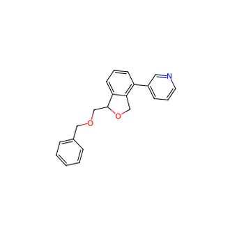 c1ccc(COCC2OCc3c(-c4cccnc4)cccc32)cc1